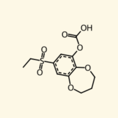 CCS(=O)(=O)c1cc2c(c(OC(=O)O)c1)OCCCO2